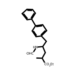 CCOC(=O)C(C)CC(Cc1ccc(-c2ccccc2)cc1)N[C]=O